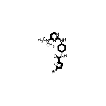 CN(C)c1ccnc(N[C@H]2CC[C@@H](NC(=O)c3ccc(Br)o3)CC2)n1